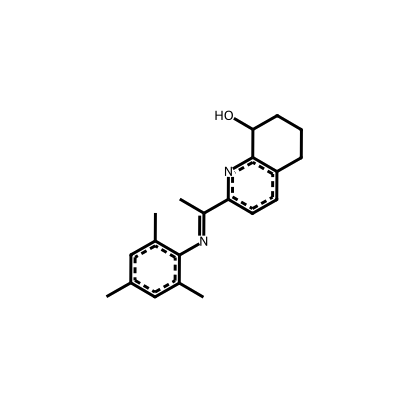 CC(=Nc1c(C)cc(C)cc1C)c1ccc2c(n1)C(O)CCC2